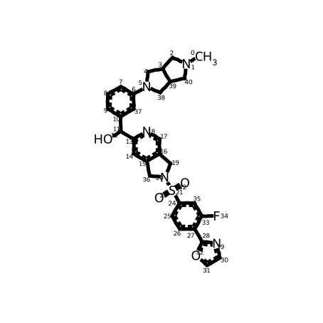 CN1CC2CN(c3cccc(C(O)c4cc5c(cn4)CN(S(=O)(=O)c4ccc(-c6ncco6)c(F)c4)C5)c3)CC2C1